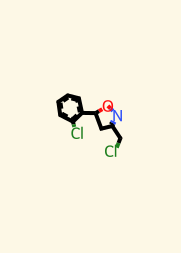 ClCC1=NOC(c2ccccc2Cl)C1